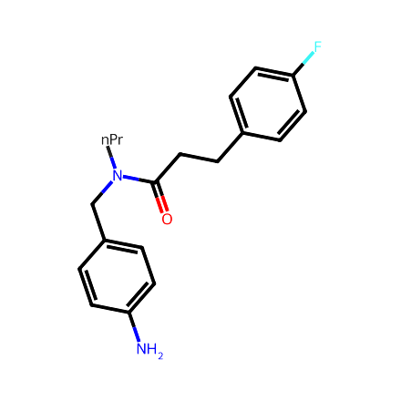 CCCN(Cc1ccc(N)cc1)C(=O)CCc1ccc(F)cc1